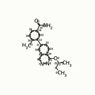 CC[C@H](C)Oc1nncc2cc(-c3cc(C(N)=O)ccc3C)ccc12